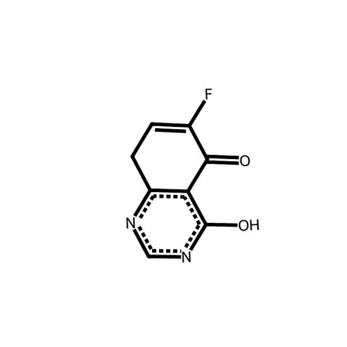 O=C1C(F)=CCc2ncnc(O)c21